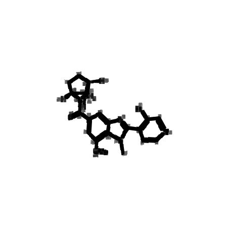 CCc1cnccc1-c1nc2cc(C(=O)N3C[C@H]4CC[C@@H]3[C@@H]4N)cc(OC)c2n1C